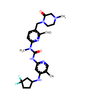 CN1CCN(Cc2ccc(N(C)C(=O)Nc3cc(NC4CCC(F)(F)C4)c(C#N)cn3)nc2C=O)C(=O)C1